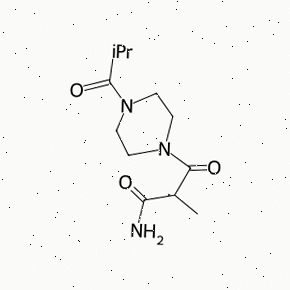 C[C](C(N)=O)C(=O)N1CCN(C(=O)C(C)C)CC1